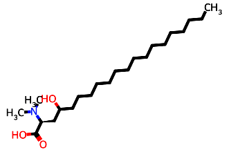 CCCCCCCCCCCCCCCCC(O)C[C@@H](C(=O)O)N(C)C